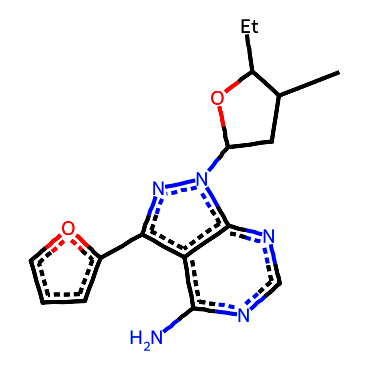 CCC1OC(n2nc(-c3ccco3)c3c(N)ncnc32)CC1C